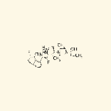 C=CC(O)N1CCN(c2ncnc(/C(F)=C(\N=C)c3cccc4ccc(F)c(Cl)c34)c2C)[C@H](C)C1